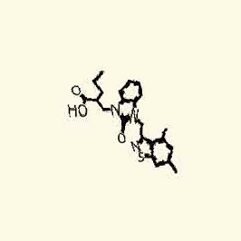 CCCC(Cn1c(=O)n(Cc2nsc3cc(C)cc(C)c23)c2ccccc21)C(=O)O